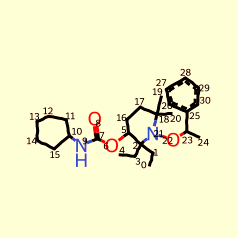 CCC1(CC)C(OC(=O)NC2CCCCC2)CCC(C)(C)N1OC(C)c1ccccc1